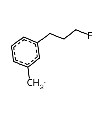 [CH2]c1cccc(CCCF)c1